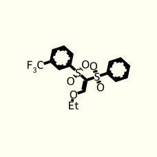 CCOC=C(S(=O)(=O)c1ccccc1)S(=O)(=O)c1cccc(C(F)(F)F)c1